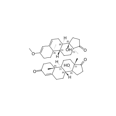 COC1=CC2=CC[C@@H]3[C@H](CC[C@]4(C)C(=O)CC[C@@]34O)[C@@]2(C)CC1.C[C@]12CCC(=O)C=C1CC[C@@H]1[C@@H]2CC[C@]2(C)C(=O)CC[C@@]12O